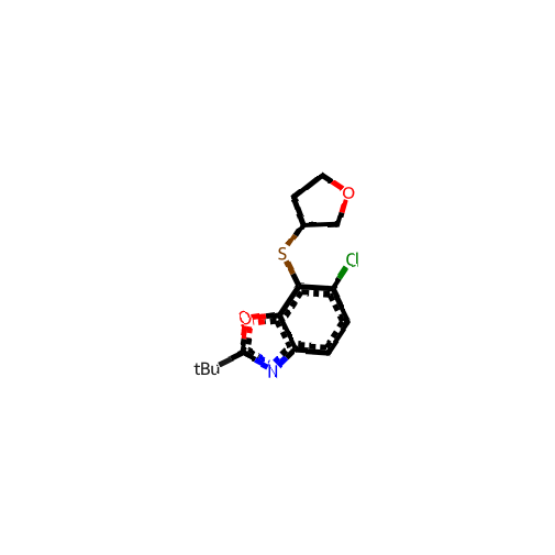 CC(C)(C)c1nc2ccc(Cl)c(SC3CCOC3)c2o1